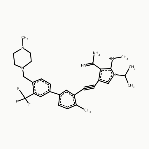 CNc1c(C(=N)N)c(C#Cc2cc(-c3ccc(CN4CCN(C)CC4)c(C(F)(F)F)c3)ccc2C)cn1C(C)C